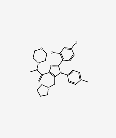 CN(C(=O)c1nc(-c2ccc(Cl)cc2Cl)n(-c2ccc(I)cc2)c1CN1CCCC1)N1CCOCC1